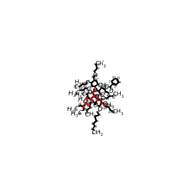 C=CCCCCCCO[C@@H]1OC(COCCCC)[C@@H](O[C@@H]2OC3COC(c4ccccc4)O[C@@H]3C(O[C@H]3CC(COCCCC)[C@H](OCCCC)C(OCCCC)C3OCCCC)C2O[C@@H]2OC(C)[C@@H](OCCCC)C(OCCCC)C2OCCCC)C(OCCCC)C1OCCCC